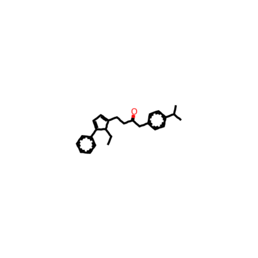 CCC1C(CCC(=O)Cc2ccc(C(C)C)cc2)=CC=C1c1ccccc1